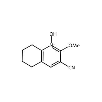 COc1c(C#N)cc2c([n+]1O)CCCC2